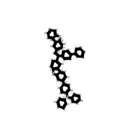 C(=C(/c1ccc(-c2ccccc2)cc1)c1ccc2sc3cc(-c4ccc(N(c5ccccc5)c5ccccc5)cc4)ccc3c2c1)/c1ccc2sc3ccccc3c2c1